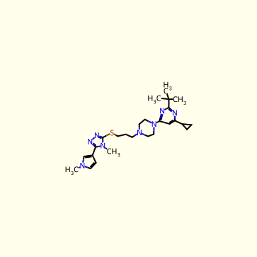 Cn1ccc(-c2nnc(SCCCN3CCN(c4cc(C5CC5)nc(C(C)(C)C)n4)CC3)n2C)c1